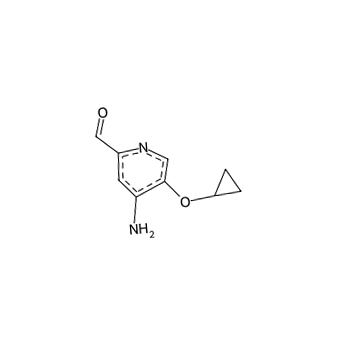 Nc1cc(C=O)ncc1OC1CC1